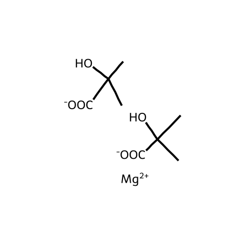 CC(C)(O)C(=O)[O-].CC(C)(O)C(=O)[O-].[Mg+2]